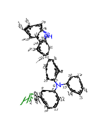 B.F.c1ccc(N(c2ccccc2)c2ccccc2)cc1.c1ccc2c(c1)[nH]c1ccccc12